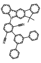 CC1(C)c2ccccc2-c2cc3c4ccccc4n(-c4ccc(C#N)c(-c5cc(-c6ccccc6)cc(-c6ccccc6)c5)c4C#N)c3cc21